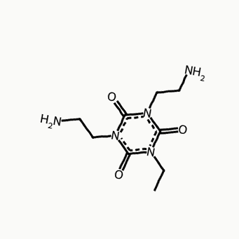 CCn1c(=O)n(CCN)c(=O)n(CCN)c1=O